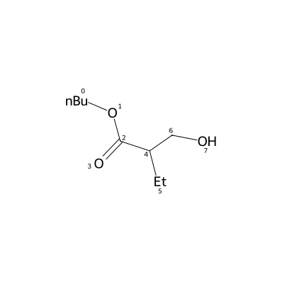 CCCCOC(=O)C(CC)CO